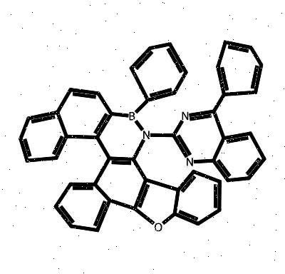 c1ccc(B2c3ccc4ccccc4c3-c3c(c4c5ccccc5oc4c4ccccc34)N2c2nc(-c3ccccc3)c3ccccc3n2)cc1